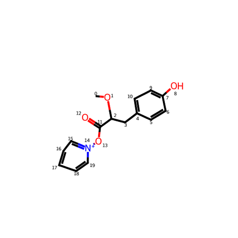 COC(Cc1ccc(O)cc1)C(=O)O[n+]1ccccc1